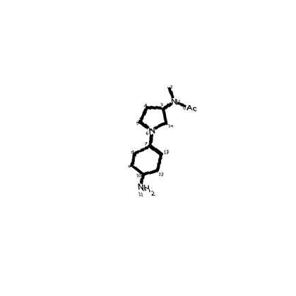 CC(=O)N(C)C1CCN(C2CCC(N)CC2)C1